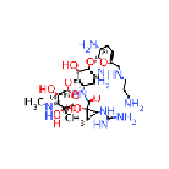 CN[C@@H]1[C@@H](O)[C@@H](O[C@H]2[C@H](NC(=O)C3(O)CC3NC(=N)N)C[C@H](N)C(O[C@H]3OC(CNCCCN)=CC[C@H]3N)[C@@H]2O)OC[C@]1(C)O